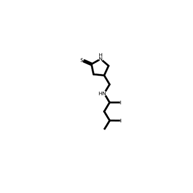 CC(I)CC(I)NCC1CNC(=S)C1